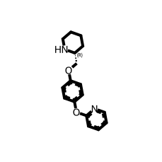 c1ccc(Oc2ccc(OC[C@H]3CCCCN3)cc2)nc1